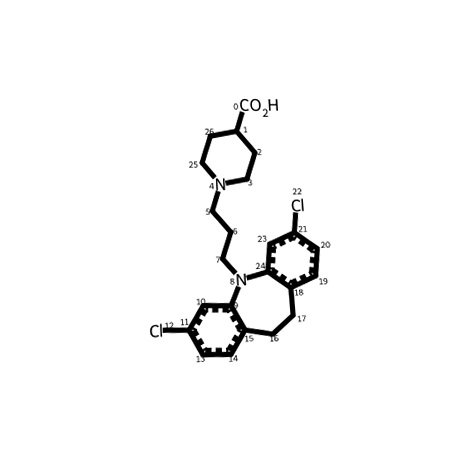 O=C(O)C1CCN(CCCN2c3cc(Cl)ccc3CCc3ccc(Cl)cc32)CC1